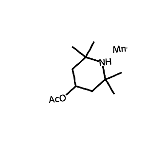 CC(=O)OC1CC(C)(C)NC(C)(C)C1.[Mn]